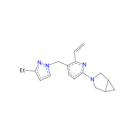 C=Cc1nc(N2CC3CC3C2)ccc1Cn1ccc(CC)n1